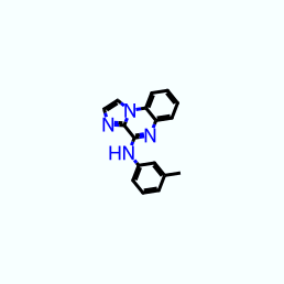 Cc1cccc(Nc2nc3ccccc3n3ccnc23)c1